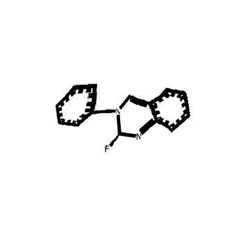 F[C@@H]1N=c2ccccc2=CN1c1ccccc1